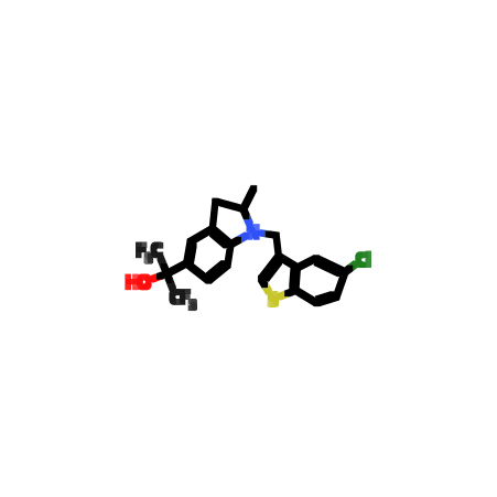 CC1Cc2cc(C(O)(C(F)(F)F)C(F)(F)F)ccc2N1Cc1csc2ccc(Cl)cc12